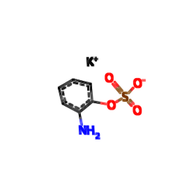 Nc1ccccc1OS(=O)(=O)[O-].[K+]